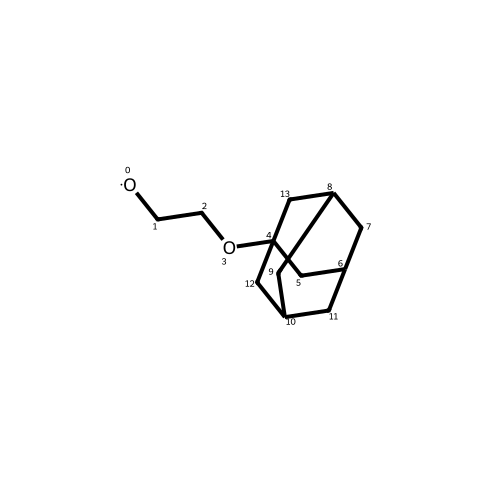 [O]CCOC12CC3CC(CC(C3)C1)C2